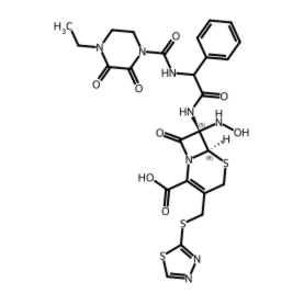 CCN1CCN(C(=O)NC(C(=O)N[C@]2(NO)C(=O)N3C(C(=O)O)=C(CSc4nncs4)CS[C@@H]32)c2ccccc2)C(=O)C1=O